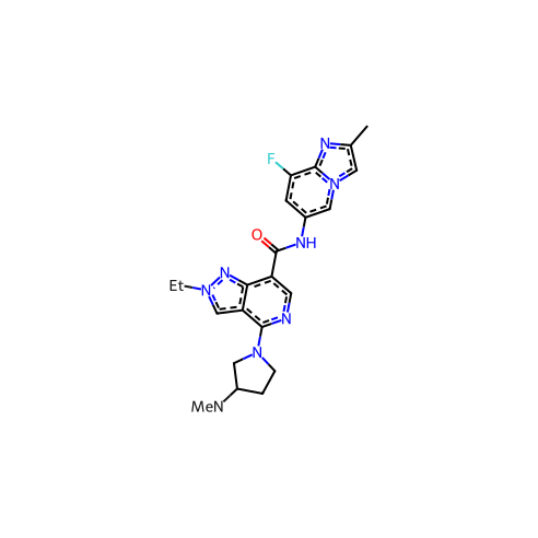 CCn1cc2c(N3CCC(NC)C3)ncc(C(=O)Nc3cc(F)c4nc(C)cn4c3)c2n1